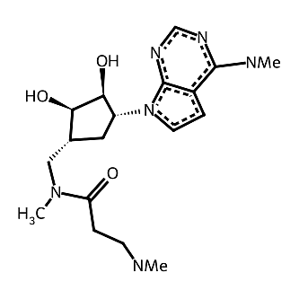 CNCCC(=O)N(C)C[C@H]1C[C@@H](n2ccc3c(NC)ncnc32)[C@H](O)[C@@H]1O